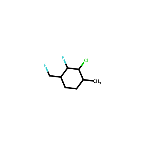 CC1CCC(CF)C(F)C1Cl